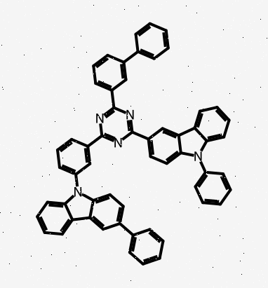 c1ccc(-c2cccc(-c3nc(-c4cccc(-n5c6ccccc6c6cc(-c7ccccc7)ccc65)c4)nc(-c4ccc5c(c4)c4ccccc4n5-c4ccccc4)n3)c2)cc1